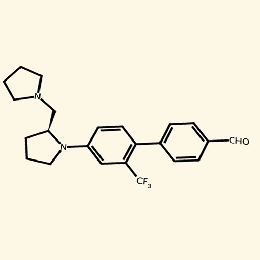 O=Cc1ccc(-c2ccc(N3CCC[C@H]3CN3CCCC3)cc2C(F)(F)F)cc1